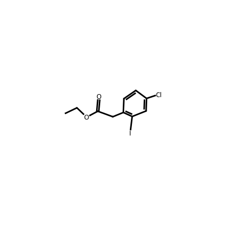 CCOC(=O)Cc1ccc(Cl)cc1I